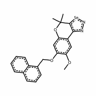 COc1cc2c(cc1OCc1cccc3ccccc13)OC(C)(C)c1[se]nnc1-2